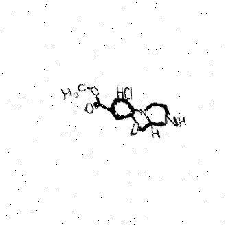 COC(=O)c1ccc2c(c1)OC[C@H]1CNCCN21.Cl